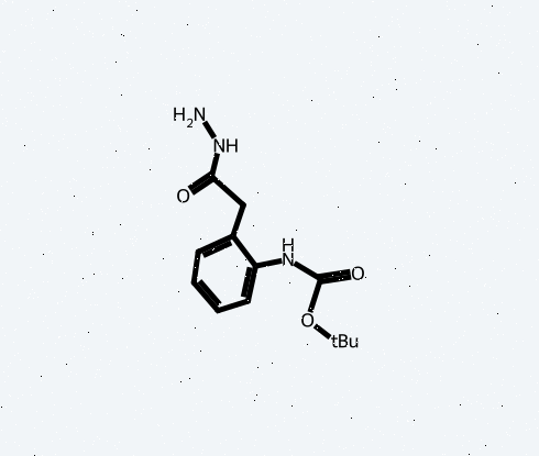 CC(C)(C)OC(=O)Nc1ccccc1CC(=O)NN